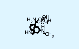 CCNC1Cc2c[nH]c3ccc(C(N)=O)c(c23)C1.O=P(O)(O)O